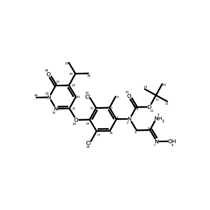 Cc1c(N(C/C(N)=N/O)C(=O)OC(C)(C)C)cc(Cl)c(Oc2cc(C(C)C)c(=O)n(C)n2)c1Cl